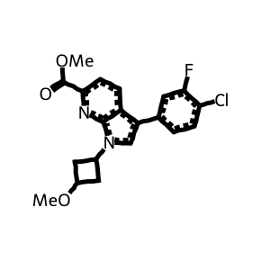 COC(=O)c1ccc2c(-c3ccc(Cl)c(F)c3)cn(C3CC(OC)C3)c2n1